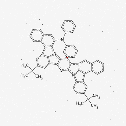 CC(C)(C)c1ccc2c(c1)c1c3ccccc3cc3c4nc5c(nc4n2c31)c1cc(C(C)(C)C)cc2c3c4ccccc4cc(N(c4ccccc4)c4ccccc4)c3n5c12